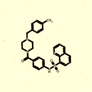 Cc1ccc(CN2CCN(C(=O)c3ccc(NS(=O)(=O)c4cccc5cccnc45)cc3)CC2)cc1